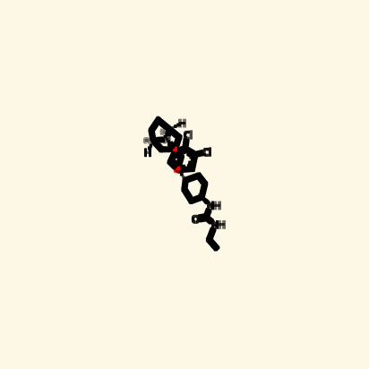 CCNC(=O)N[C@H]1CC[C@H](CCN2C[C@H]3CC[C@@H](C2)N3c2cccc(Cl)c2Cl)CC1